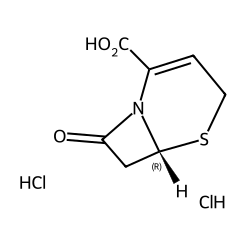 Cl.Cl.O=C(O)C1=CCS[C@@H]2CC(=O)N12